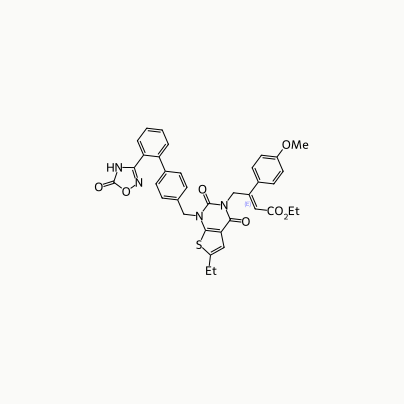 CCOC(=O)/C=C(/Cn1c(=O)c2cc(CC)sc2n(Cc2ccc(-c3ccccc3-c3noc(=O)[nH]3)cc2)c1=O)c1ccc(OC)cc1